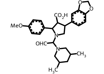 COc1ccc(C2C(C(=O)O)C(c3ccc4c(c3)OCO4)CN2C(C=O)N2CC(C)CC(C)C2)cc1